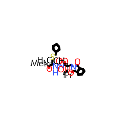 CNC(=O)[C@H](NC(=O)N(O)C(=O)[C@@H](CCC(C)C)CN1C(=O)c2ccccc2C1=O)C(C)(C)SCc1ccccc1